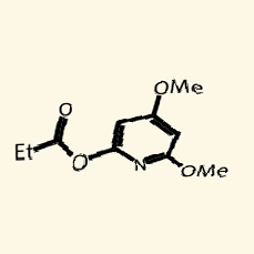 CCC(=O)Oc1cc(OC)cc(OC)n1